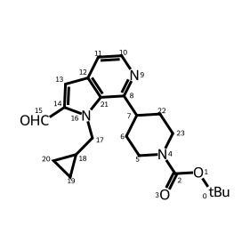 CC(C)(C)OC(=O)N1CCC(c2nccc3cc(C=O)n(CC4CC4)c23)CC1